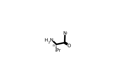 CC(C)[C@H](N)C([N])=O